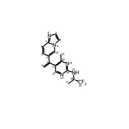 C=C(c1ccc2nccn2c1)c1cnc(N[C@H](C)C(F)(F)F)nc1C